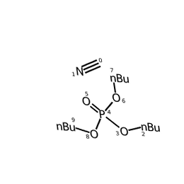 C#N.CCCCOP(=O)(OCCCC)OCCCC